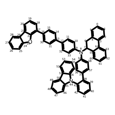 c1ccc2c(c1)CC(N(c1ccc(-c3ccc(-c4cccc5c4oc4ccccc45)cc3)cc1)c1ccc(-c3ccccc3-n3c4ccccc4c4ccccc43)cc1)c1ccccc1-2